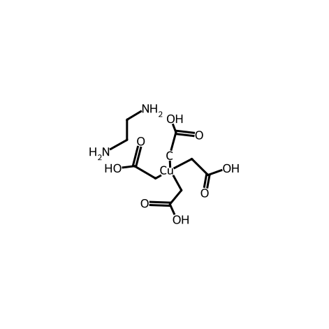 NCCN.O=C(O)[CH2][Cu]([CH2]C(=O)O)([CH2]C(=O)O)[CH2]C(=O)O